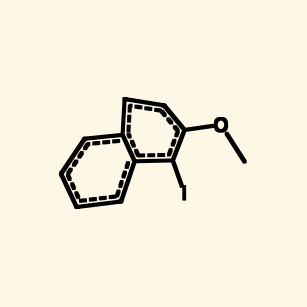 COc1ccc2ccccc2c1I